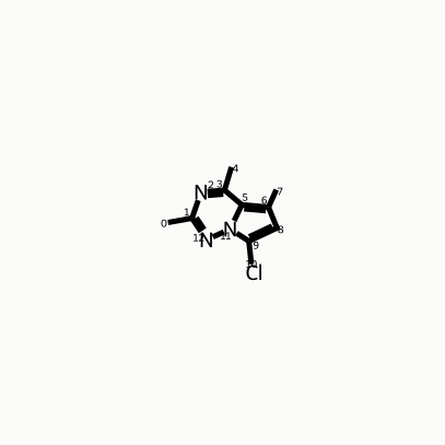 Cc1nc(C)c2c(C)cc(Cl)n2n1